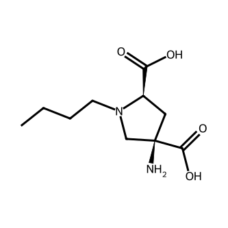 CCCCN1C[C@@](N)(C(=O)O)C[C@@H]1C(=O)O